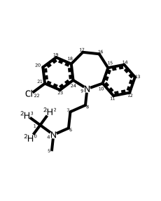 [2H]C([2H])([2H])N(C)CCCN1c2ccccc2CCc2ccc(Cl)cc21